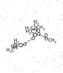 CCOC(=O)CCCOc1cc(OCCCCCOc2ccc(/C(N)=N/C(C)=O)cc2)ccc1C(=O)N(C(C)C)C(C)C